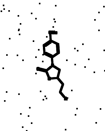 COc1ccc(N2CC(CCBr)OC2=O)cc1